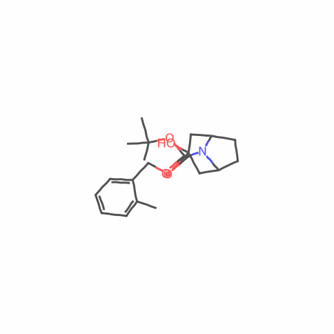 Cc1ccccc1COC1(O)CC2CCC(C1)N2C(=O)OC(C)(C)C